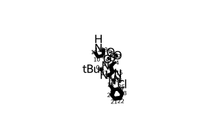 CC(C)(C)c1nc(CS(=O)(=O)OC2CCNC2)c2nnn(Cc3ccccc3Cl)c2n1